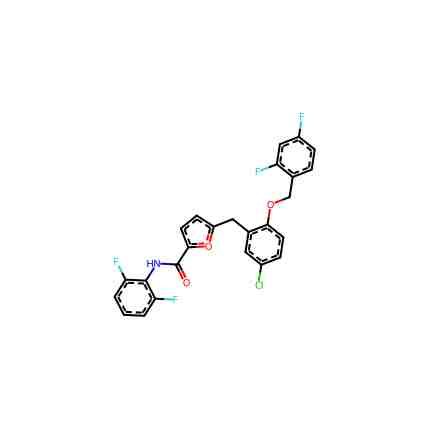 O=C(Nc1c(F)cccc1F)c1ccc(Cc2cc(Cl)ccc2OCc2ccc(F)cc2F)o1